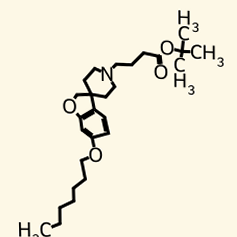 CCCCCCCOc1ccc2c(c1)OCC21CCN(CCCC(=O)OC(C)(C)C)CC1